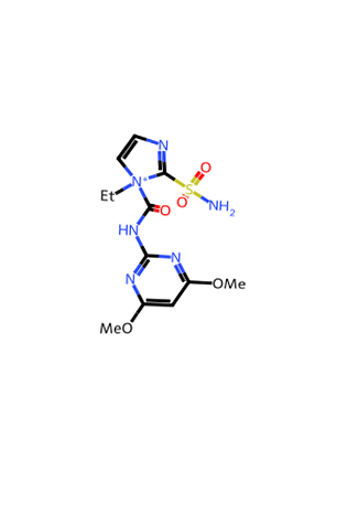 CC[N+]1(C(=O)Nc2nc(OC)cc(OC)n2)C=CN=C1S(N)(=O)=O